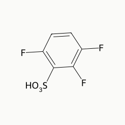 O=S(=O)(O)c1c(F)ccc(F)c1F